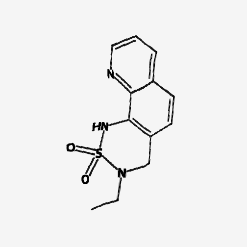 CCN1Cc2ccc3cccnc3c2NS1(=O)=O